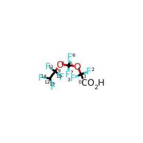 O=C(O)C(F)(F)OC(F)(F)OC(F)(F)C(F)F